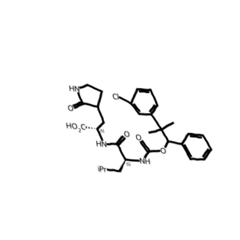 CC(C)C[C@H](NC(=O)OC(c1ccccc1)C(C)(C)c1cccc(Cl)c1)C(=O)N[C@@H](CC1CCNC1=O)C(=O)O